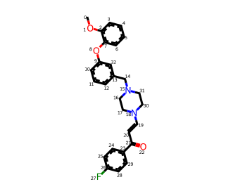 COc1ccccc1Oc1cccc(CN2CCN(C=CC(=O)c3ccc(F)cc3)CC2)c1